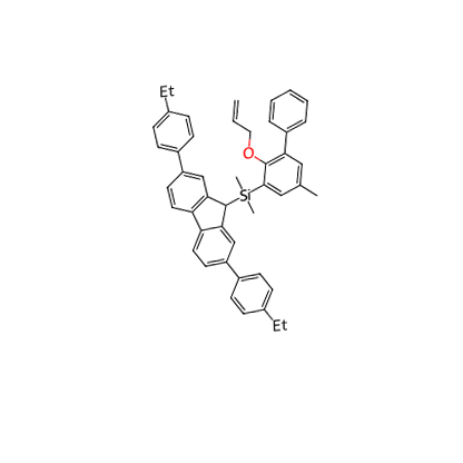 C=CCOc1c(-c2ccccc2)cc(C)cc1[Si](C)(C)C1c2cc(-c3ccc(CC)cc3)ccc2-c2ccc(-c3ccc(CC)cc3)cc21